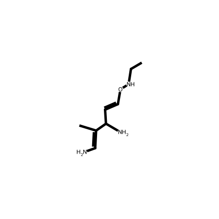 CCNO/C=C/C(N)/C(C)=C/N